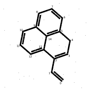 C=CC1=CCc2cccc3cccc1c23